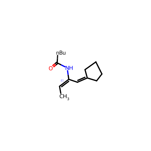 C/C=C(\C=C1CCCC1)NC(=O)CCCC